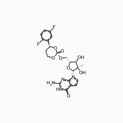 C[C@@]1(O)[C@H](O)[C@@H](CO[P@@]2(=O)OCC[C@@H](c3cc(F)ccc3F)O2)O[C@H]1n1ccc2c(=O)[nH]c(N)nc21